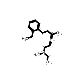 CCc1ccccc1CCC(C)=C=CCN(C)CC